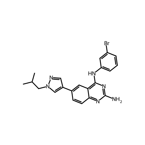 CC(C)Cn1cc(-c2ccc3nc(N)nc(Nc4cccc(Br)c4)c3c2)cn1